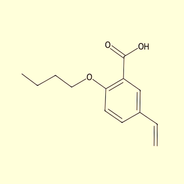 C=Cc1ccc(OCCCC)c(C(=O)O)c1